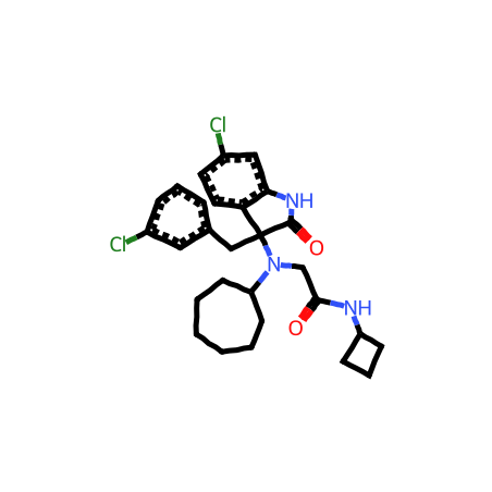 O=C(CN(C1CCCCCC1)C1(Cc2cccc(Cl)c2)C(=O)Nc2cc(Cl)ccc21)NC1CCC1